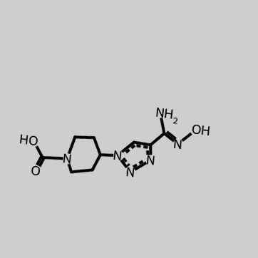 N/C(=N\O)c1cn(C2CCN(C(=O)O)CC2)nn1